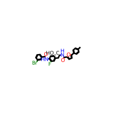 Cc1ccc(-c2ccc(C(=O)NC(Cc3ccc(NC(=O)c4cccc(Br)c4)c(F)c3)C(=O)O)o2)cc1